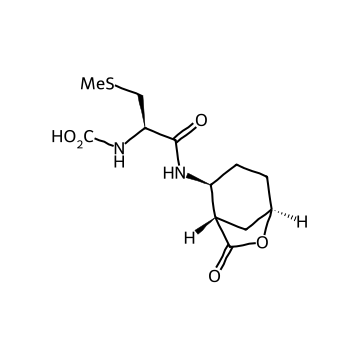 CSC[C@H](NC(=O)O)C(=O)N[C@H]1CC[C@@H]2C[C@@H]1C(=O)O2